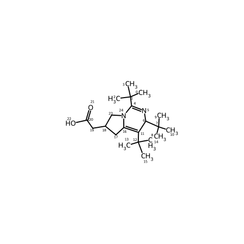 CC(C)(C)C1=NC(C(C)(C)C)C(C(C)(C)C)=C2CC(CC(=O)O)CN12